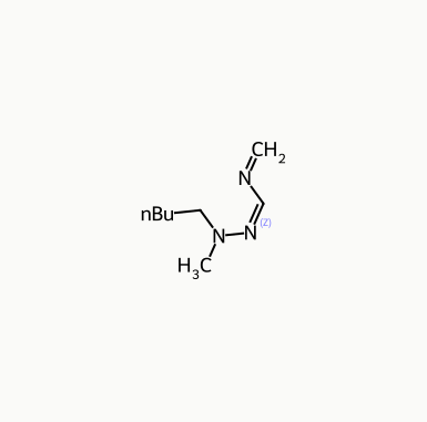 C=N/C=N\N(C)CCCCC